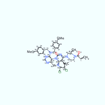 C=CC(=O)N1C[C@H](C)N(c2nc(=O)n(-c3c(C(C)C)ncnc3N(Cc3ccc(OC)cc3)Cc3ccc(OC)cc3)c3nc(Cl)c(Cl)cc23)C[C@H]1C